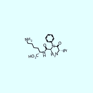 CC(C)[C@H](N)C(=O)N(c1ccccc1)[C@@H](C)C(=O)N[C@@H](CCCCN)C(=O)O